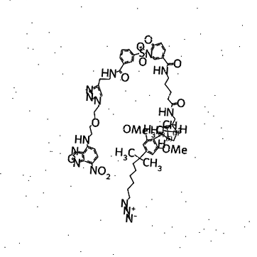 COc1cc(C(C)(C)CCCCCCN=[N+]=[N-])cc(OC)c1[C@H]1C=C(CNC(=O)CCCCNC(=O)c2ccc(=O)n(S(=O)(=O)c3cccc(C(=O)NCCc4cn(CCOCCNc5ccc([N+](=O)[O-])c6nonc56)nn4)c3)c2)[C@H]2C[C@@H]1C2(C)C